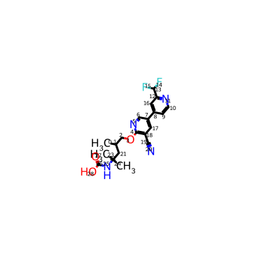 CC(COc1ncc(-c2ccnc(C(F)F)c2)cc1C#N)CC(C)(C)NC(=O)O